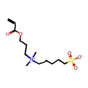 C=CC(=O)OCCC[N+](C)(C)CCCCCS(=O)(=O)[O-]